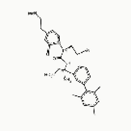 CNCCc1ccn([C@@H](CCC(C)C)C(=O)N[C@]([SiH3])(CC(=O)O)c2cccc(-c3c(C)cc(C)cc3C)c2)c(=O)c1